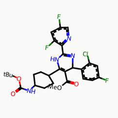 COC(=O)C1=C(C2CCC(NC(=O)OC(C)(C)C)CC2)NC(c2ncc(F)cc2F)=NC1c1ccc(F)cc1Cl